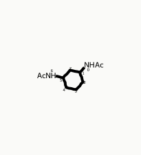 CC(=O)NC1CCCC(NC(C)=O)C1